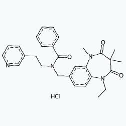 CCN1C(=O)C(C)(C)C(=O)N(C)c2cc(CN(CCc3cccnc3)C(=O)c3ccccc3)ccc21.Cl